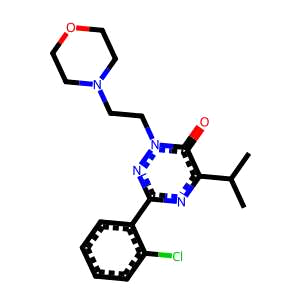 CC(C)c1nc(-c2ccccc2Cl)nn(CCN2CCOCC2)c1=O